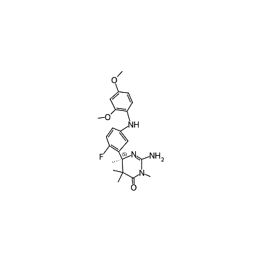 COc1ccc(Nc2ccc(F)c([C@@]3(C)N=C(N)N(C)C(=O)C3(C)C)c2)c(OC)c1